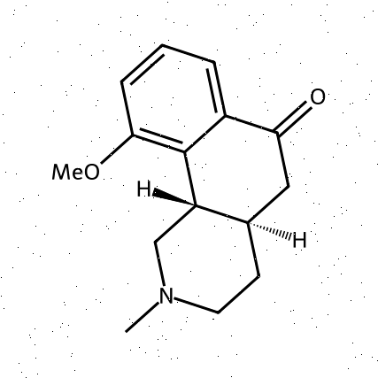 COc1cccc2c1[C@H]1CN(C)CC[C@@H]1CC2=O